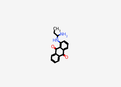 CCC(N)Nc1cccc2c1C(=O)c1ccccc1C2=O